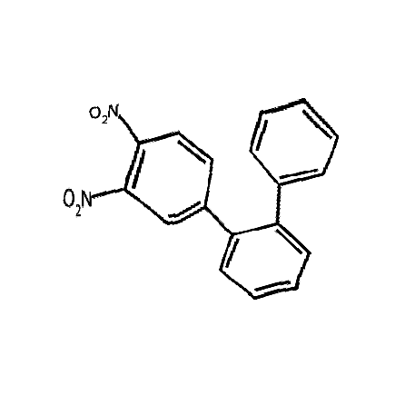 O=[N+]([O-])c1ccc(-c2ccccc2-c2ccccc2)cc1[N+](=O)[O-]